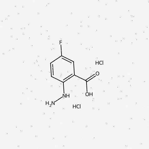 Cl.Cl.NNc1ccc(F)cc1C(=O)O